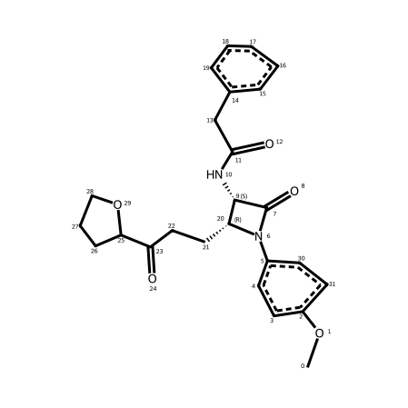 COc1ccc(N2C(=O)[C@@H](NC(=O)Cc3ccccc3)[C@H]2CCC(=O)C2CCCO2)cc1